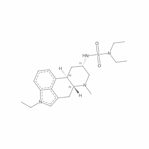 CCN(CC)S(=O)(=O)N[C@H]1C[C@@H]2c3cccc4c3c(cn4CC)C[C@H]2N(C)C1